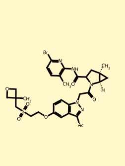 CC(=O)c1nn(CC(=O)N2C(C(=O)Nc3nc(Br)ccc3C)C[C@@]3(C)C[C@@H]23)c2ccc(OCCS(=O)(=O)CC3(C)COC3)cc12